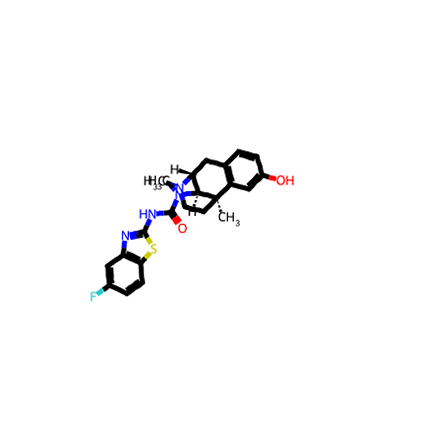 CN1CC[C@]2(C)c3cc(O)ccc3C[C@@H]1[C@@H]2N(C)C(=O)Nc1nc2cc(F)ccc2s1